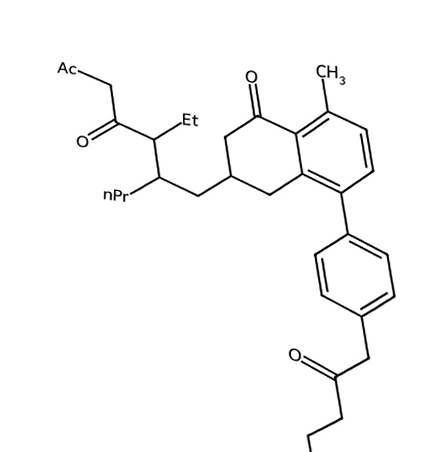 CCCC(CC1CC(=O)c2c(C)ccc(-c3ccc(CC(=O)CCC(C)(C)C)cc3)c2C1)C(CC)C(=O)CC(C)=O